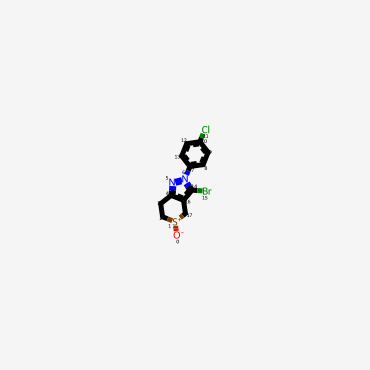 [O-][S+]1CCc2nn(-c3ccc(Cl)cc3)c(Br)c2C1